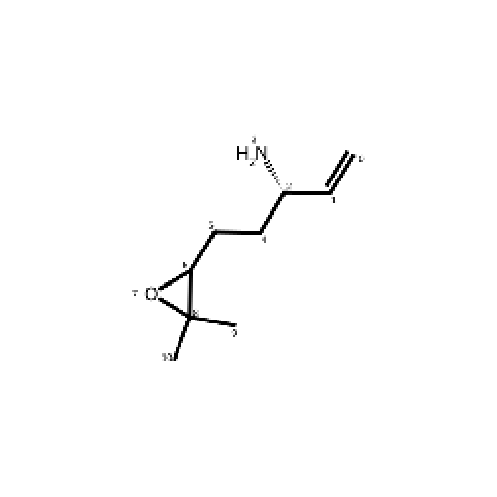 C=C[C@@H](N)CCC1OC1(C)C